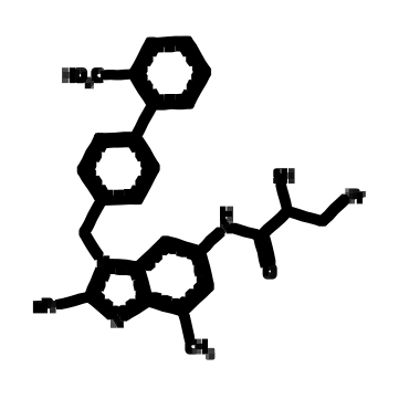 CCCc1nc2c(C)cc(NC(=O)C(S)CC(C)C)cc2n1Cc1ccc(-c2ccccc2C(=O)O)cc1